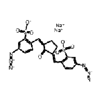 [N-]=[N+]=Nc1ccc(C=C2CCC(=Cc3ccc(N=[N+]=[N-])cc3S(=O)(=O)[O-])C2=O)c(S(=O)(=O)[O-])c1.[Na+].[Na+]